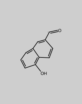 O=[C]c1ccc2c(O)cccc2c1